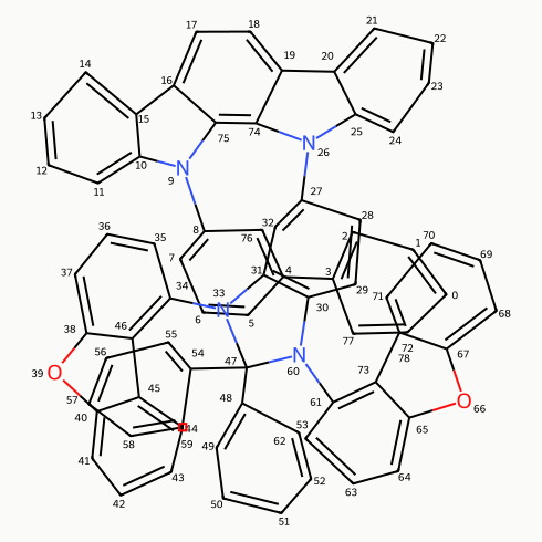 c1ccc(-c2cccc(-n3c4ccccc4c4ccc5c6ccccc6n(-c6ccc7c(c6)N(c6cccc8oc9ccccc9c68)C(c6ccccc6)(c6ccccc6)N7c6cccc7oc8ccccc8c67)c5c43)c2)cc1